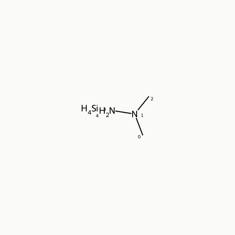 CN(C)N.[SiH4]